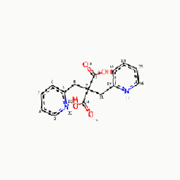 O=C(O)C(Cc1ccccn1)(Cc1ccccn1)C(=O)O